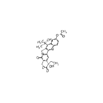 CCC1(O)C(=O)OCc2c1cc1n(c2=O)Cc2c-1nc1ccc(OC(C)=O)cc1c2[Si](C)(C)C